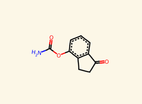 NC(=O)Oc1cccc2c1CCC2=O